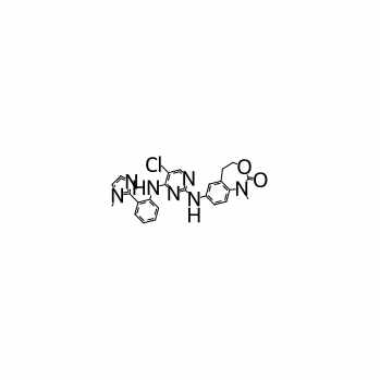 CN1C(=O)OCCc2cc(Nc3ncc(Cl)c(Nc4ccccc4-c4nccn4C)n3)ccc21